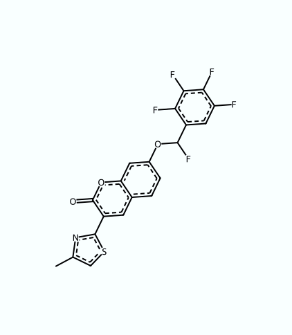 Cc1csc(-c2cc3ccc(OC(F)c4cc(F)c(F)c(F)c4F)cc3oc2=O)n1